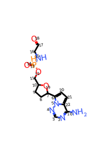 Nc1ncnn2c(C3CCC(CO[PH](=O)NCC=O)O3)ccc12